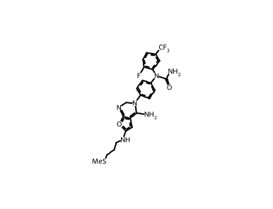 CSCCCNc1cc2c(o1)=NCN(c1ccc(N(C(N)=O)c3cc(C(F)(F)F)ccc3F)cc1)C=2N